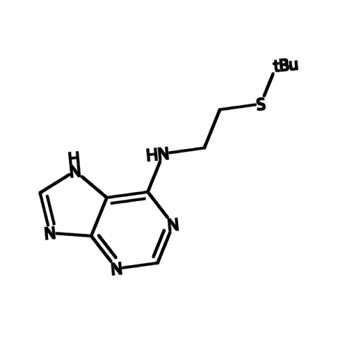 CC(C)(C)SCCNc1ncnc2nc[nH]c12